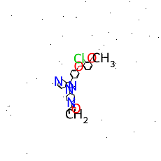 C=CC(=O)N1CCC(n2nc(-c3ccc(Oc4cccc(OC)c4Cl)cc3)c3cnccc32)CC1